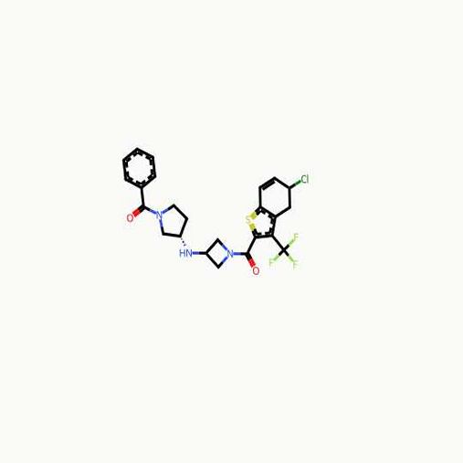 O=C(c1ccccc1)N1CC[C@H](NC2CN(C(=O)c3sc4c(c3C(F)(F)F)CC(Cl)C=C4)C2)C1